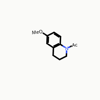 COc1ccc2c(c1)CCCN2C(C)=O